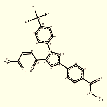 COC(=O)c1ccc(-c2cc(C(=O)/C=C\C(C)=O)n(-c3ccc(C(F)(F)F)cc3)n2)cc1